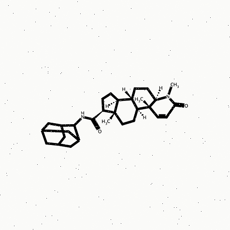 CN1C(=O)C=C[C@]2(C)[C@H]3CC[C@]4(C)[C@@H](C(=O)NC5C6CC7CC(C6)CC5C7)CC[C@H]4[C@@H]3CC[C@@H]12